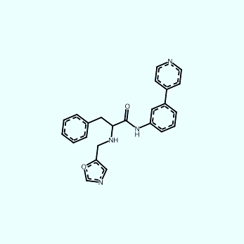 O=C(Nc1cccc(-c2ccncc2)c1)C(Cc1ccccc1)NCc1cnco1